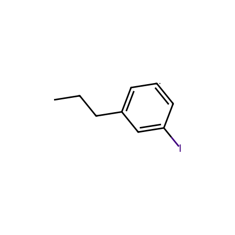 CCCc1c[c]cc(I)c1